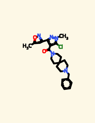 Cc1cc(-c2nn(C)c(Cl)c2C(=O)N2CCC3(CCN(Cc4ccccc4)CC3)CC2)no1